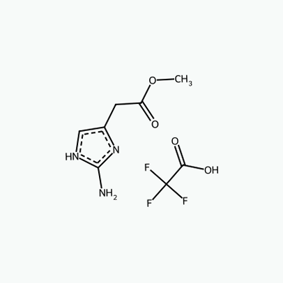 COC(=O)Cc1c[nH]c(N)n1.O=C(O)C(F)(F)F